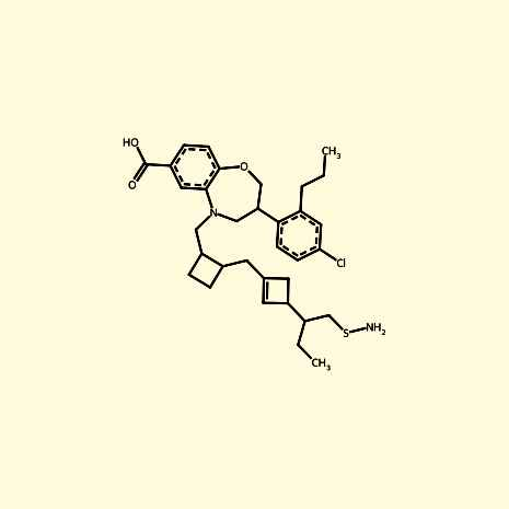 CCCc1cc(Cl)ccc1C1COc2ccc(C(=O)O)cc2N(CC2CCC2CC2=CC(C(CC)CSN)C2)C1